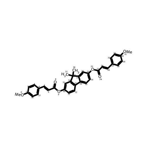 COc1ccc(C=CC(=O)Oc2ccc3c(c2)C(C)(C)c2cc(OC(=O)C=Cc4ccc(OC)cc4)ccc2-3)cc1